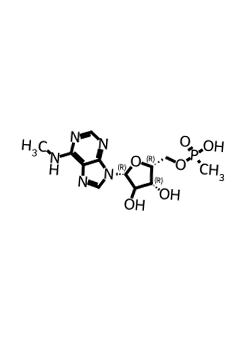 CNc1ncnc2c1ncn2[C@@H]1O[C@H](COP(C)(=O)O)[C@H](O)C1O